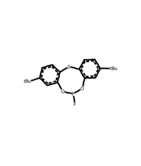 CC(C)(C)c1ccc2c(c1)OP(F)Oc1cc(C(C)(C)C)ccc1S2